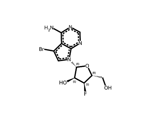 Nc1ncnc2c1c(Br)cn2[C@@H]1O[C@H](CO)[C@@H](F)[C@H]1O